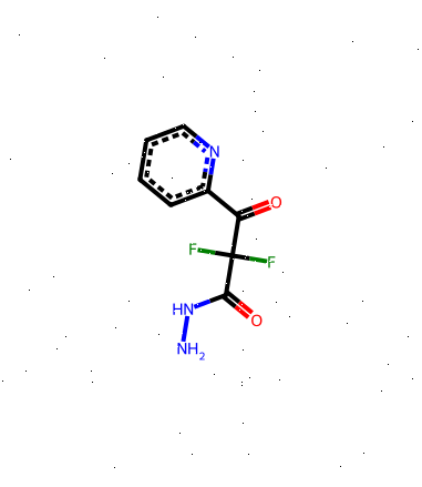 NNC(=O)C(F)(F)C(=O)c1ccccn1